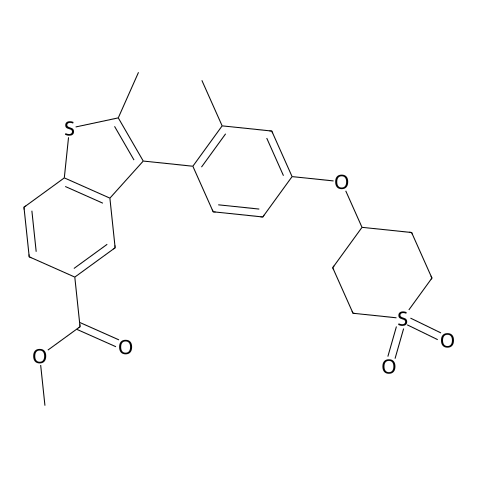 COC(=O)c1ccc2sc(C)c(-c3ccc(OC4CCS(=O)(=O)CC4)cc3C)c2c1